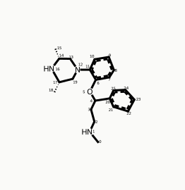 CNCCC(Oc1ccccc1N1C[C@@H](C)N[C@@H](C)C1)c1ccccc1